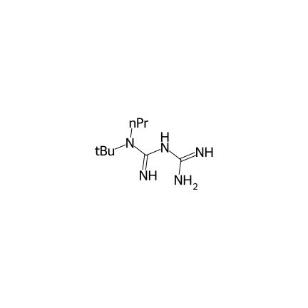 CCCN(C(=N)NC(=N)N)C(C)(C)C